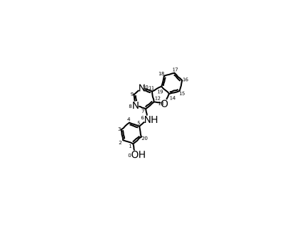 Oc1cccc(Nc2ncnc3c2oc2ccccc23)c1